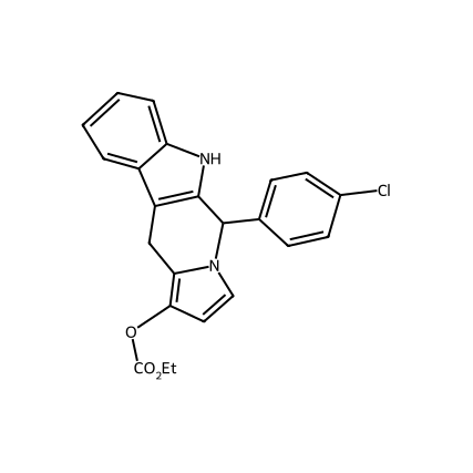 CCOC(=O)Oc1ccn2c1Cc1c([nH]c3ccccc13)C2c1ccc(Cl)cc1